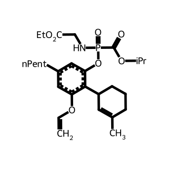 C=COc1cc(CCCCC)cc(OP(=O)(NCC(=O)OCC)C(=O)OC(C)C)c1C1C=C(C)CCC1